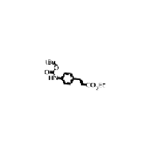 CCOC(=O)C=Cc1ccc(NC(=O)OC(C)(C)C)cc1